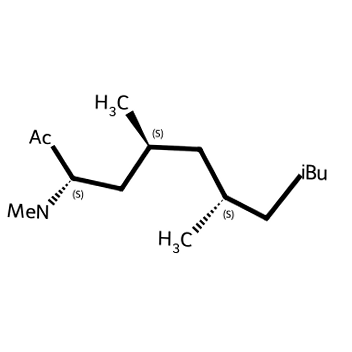 CCC(C)C[C@H](C)C[C@H](C)C[C@H](NC)C(C)=O